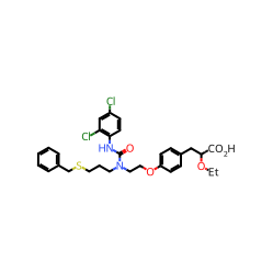 CCOC(Cc1ccc(OCCN(CCCSCc2ccccc2)C(=O)Nc2ccc(Cl)cc2Cl)cc1)C(=O)O